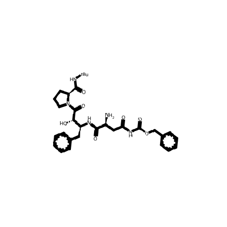 CC(C)(C)NC(=O)[C@@H]1CCCN1C(=O)[C@@H](O)[C@H](Cc1ccccc1)NC(=O)[C@@H](N)CC(=O)NC(=O)OCc1ccccc1